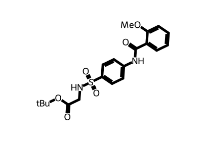 COc1ccccc1C(=O)Nc1ccc(S(=O)(=O)NCC(=O)OC(C)(C)C)cc1